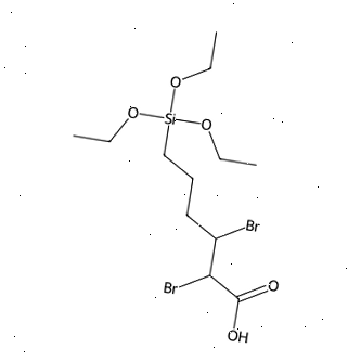 CCO[Si](CCCC(Br)C(Br)C(=O)O)(OCC)OCC